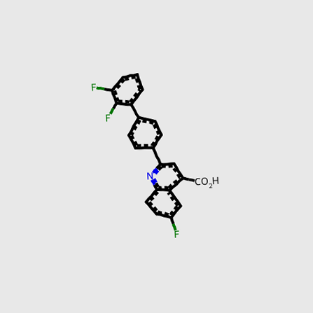 O=C(O)c1cc(-c2ccc(-c3cccc(F)c3F)cc2)nc2ccc(F)cc12